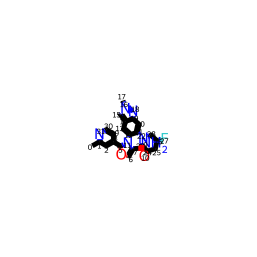 Cc1cc(C2OC=C(C(N)=O)N2c2cc3cn(C)nc3cc2N2CCCC(F)C2)ccn1